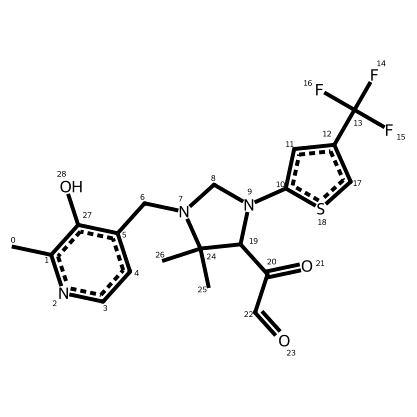 Cc1nccc(CN2CN(c3cc(C(F)(F)F)cs3)C(C(=O)C=O)C2(C)C)c1O